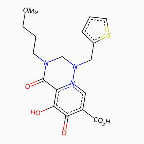 COCCCN1CN(Cc2cccs2)n2cc(C(=O)O)c(=O)c(O)c2C1=O